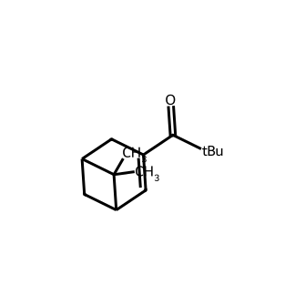 CC(C)(C)C(=O)C1=CC2CC(C1)C2(C)C